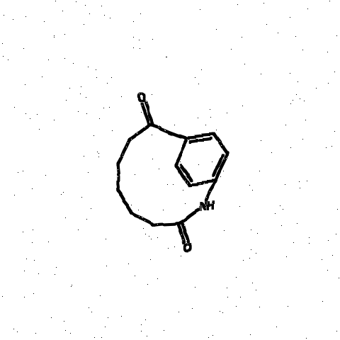 O=C1CCCCCC(=O)c2ccc(cc2)N1